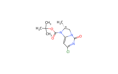 C[C@@H]1Cn2c(cc(Cl)nc2=O)N1C(=O)OC(C)(C)C